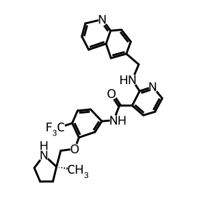 C[C@]1(COc2cc(NC(=O)c3cccnc3NCc3ccc4ncccc4c3)ccc2C(F)(F)F)CCCN1